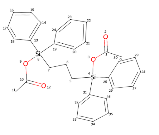 CC(=O)O[Si](CCC[Si](OC(C)=O)(c1ccccc1)c1ccccc1)(c1ccccc1)c1ccccc1